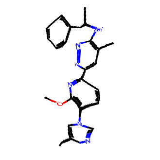 COc1nc(-c2cc(C)c(NC(C)c3ccccc3)nn2)ccc1-n1cnc(C)c1